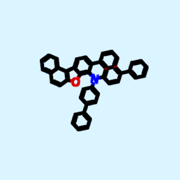 c1ccc(-c2ccc(N(c3ccc(-c4ccccc4)cc3)c3c(-c4ccccc4)ccc4c3oc3ccc5ccccc5c34)cc2)cc1